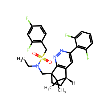 CCN(C[C@@]12CC[C@@H](c3cc(-c4c(F)cccc4F)nnc31)C2(C)C)S(=O)(=O)Cc1ccc(F)cc1F